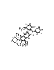 CCc1cccc(CC)c1-c1cc(OC(C)C)c(CN(CCc2ccccc2)Cc2ccccc2C(F)(F)F)c(C)n1